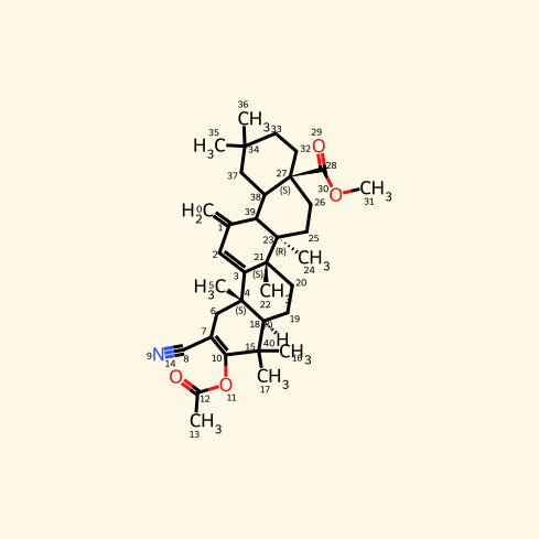 C=C1C=C2[C@@]3(C)CC(C#N)=C(OC(C)=O)C(C)(C)[C@@H]3CC[C@@]2(C)[C@]2(C)CC[C@@]3(C(=O)OC)CCC(C)(C)CC3C12